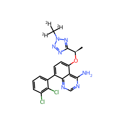 [2H]C([2H])([2H])n1nnc([C@@H](C)Oc2ccc(-c3cccc(Cl)c3Cl)c3ncnc(N)c23)n1